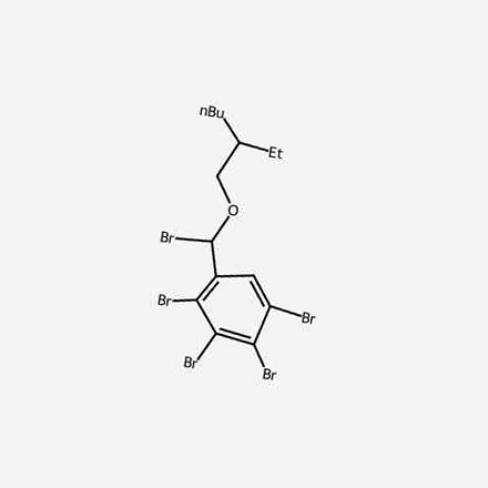 CCCCC(CC)COC(Br)c1cc(Br)c(Br)c(Br)c1Br